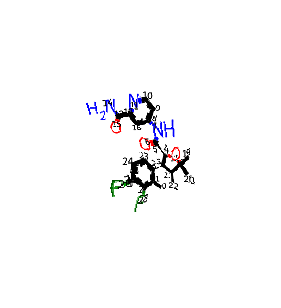 Cc1c([C@@H]2[C@@H](C(=O)Nc3ccnc(C(N)=O)c3)OC(C)(C)[C@H]2C)ccc(F)c1F